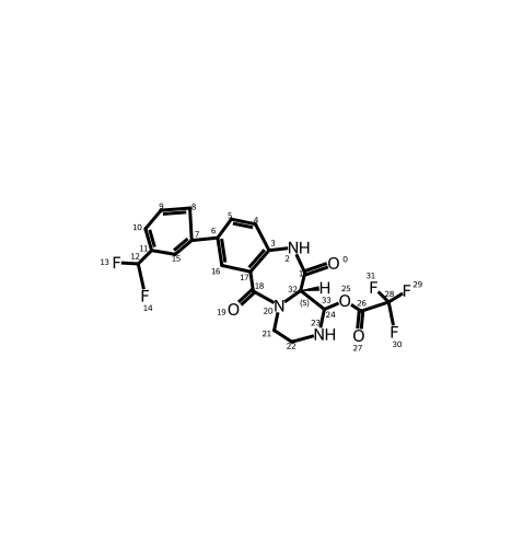 O=C1Nc2ccc(-c3cccc(C(F)F)c3)cc2C(=O)N2CCNC(OC(=O)C(F)(F)F)[C@@H]12